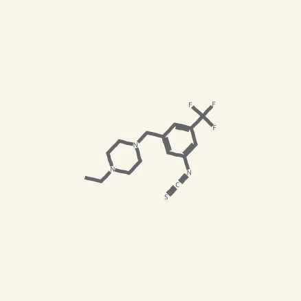 CCN1CCN(Cc2cc(N=C=S)cc(C(F)(F)F)c2)CC1